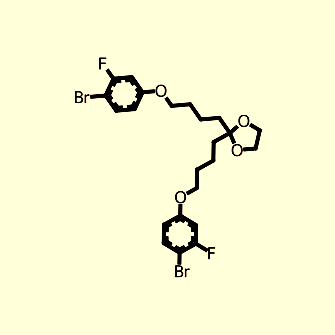 Fc1cc(OCCCCC2(CCCCOc3ccc(Br)c(F)c3)OCCO2)ccc1Br